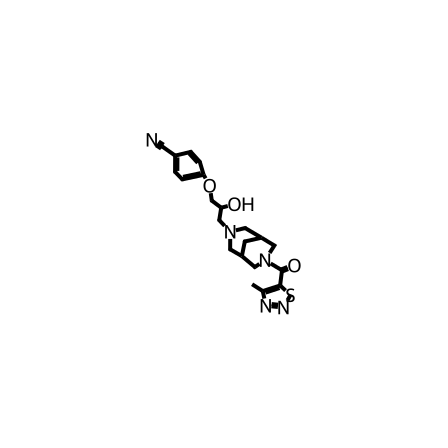 Cc1nnsc1C(=O)N1CC2CC(CN(CC(O)COc3ccc(C#N)cc3)C2)C1